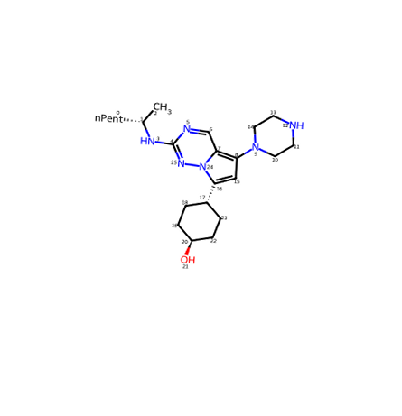 CCCCC[C@H](C)Nc1ncc2c(N3CCNCC3)cc([C@H]3CC[C@H](O)CC3)n2n1